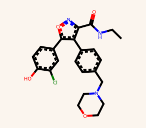 CCNC(=O)c1noc(-c2ccc(O)c(Cl)c2)c1-c1ccc(CN2CCOCC2)cc1